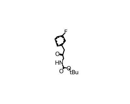 CC(C)(C)OC(=O)NCC(=O)Cc1cccc(F)c1